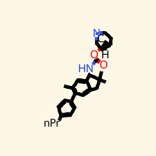 CCCc1ccc(-c2cc3c(cc2C)[C@H](NC(=O)O[C@@H]2CN4CCC2CC4)C(C)(C)C3)cc1